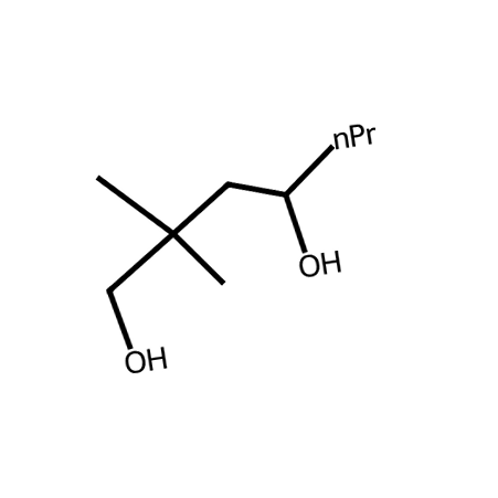 CCCC(O)CC(C)(C)CO